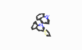 c1ccc2ncccc2c1.c1ccc2ncccc2c1.c1ccsc1